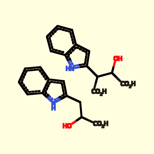 O=C(O)C(O)C(C(=O)O)c1cc2ccccc2[nH]1.O=C(O)C(O)Cc1cc2ccccc2[nH]1